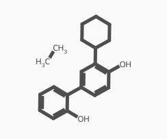 CC.Oc1ccccc1-c1ccc(O)c(C2CCCCC2)c1